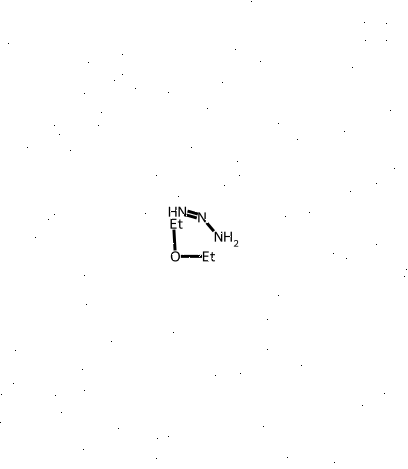 CCOCC.N=NN